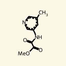 COC(=O)C(=O)Nc1cncc(C)c1